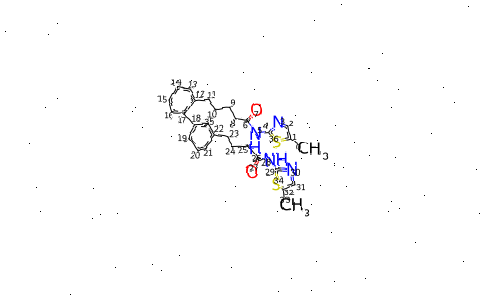 Cc1cnc(NC(=O)CCCCc2ccccc2-c2cccc(CCCC(=O)Nc3ncc(C)s3)c2)s1